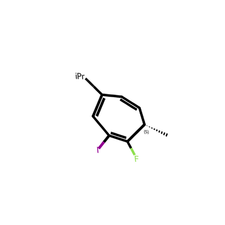 CC(C)C1=CC(I)=C(F)[C@@H](C)C=C1